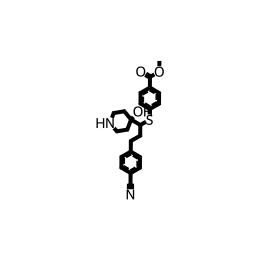 COC(=O)c1ccc(SC(CCc2ccc(C#N)cc2)C2(O)CCNCC2)cc1